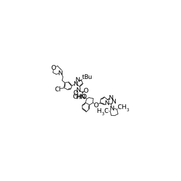 C[C@@H]1CCC[C@H](C)N1c1nnc2ccc(O[C@@H]3CC[C@H](NC(=O)N(OC=O)c4cc(C(C)(C)C)nn4-c4ccc(Cl)c(CCN5CCOCC5)c4)c4ccccc43)cn12